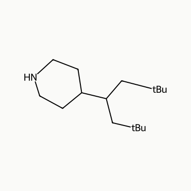 CC(C)(C)CC(CC(C)(C)C)C1CCNCC1